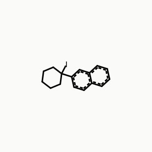 IC1(c2ccc3ccccc3c2)CCCCC1